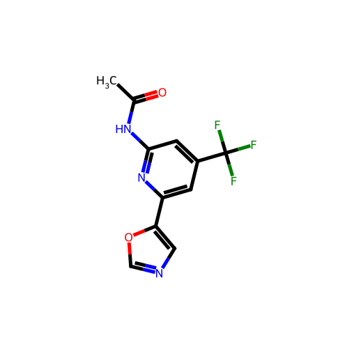 CC(=O)Nc1cc(C(F)(F)F)cc(-c2cnco2)n1